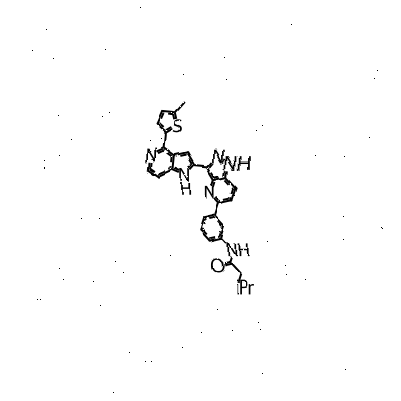 Cc1ccc(-c2nccc3[nH]c(-c4n[nH]c5ccc(-c6cccc(NC(=O)CC(C)C)c6)nc45)cc23)s1